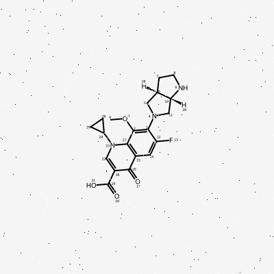 COc1c(N2C[C@@H]3CCN[C@@H]3C2)c(F)cc2c(=O)c(C(=O)O)cn(C3CC3)c12